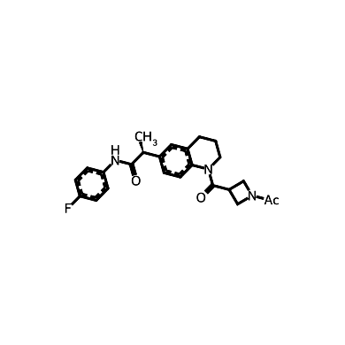 CC(=O)N1CC(C(=O)N2CCCc3cc([C@H](C)C(=O)Nc4ccc(F)cc4)ccc32)C1